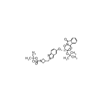 CC(C)(C)OC(=O)[C@H](COc1ccc2nn(CC3CN(C(=O)OC(C)(C)C)C3)cc2c1)ON1C(=O)c2ccccc2C1=O